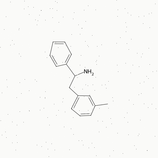 Cc1cccc(CC(N)c2ccccc2)c1